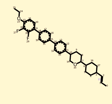 C/C=C/C1CCC(C2CCC(c3ccc(-c4ccc(-c5ccc(OCC)c(F)c5F)cc4)cc3)CO2)CC1